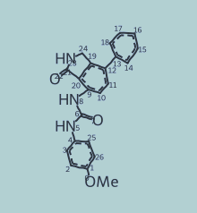 COc1ccc(NC(=O)Nc2ccc(-c3ccccc3)c3c2C(=O)NC3)cc1